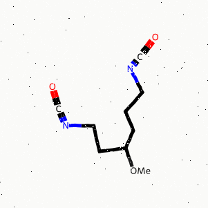 COC(CCCN=C=O)CCN=C=O